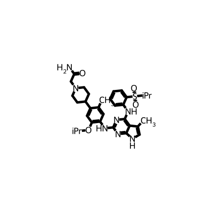 Cc1cc(Nc2nc(Nc3ccccc3S(=O)(=O)C(C)C)c3c(C)c[nH]c3n2)c(OC(C)C)cc1C1CCN(CC(N)=O)CC1